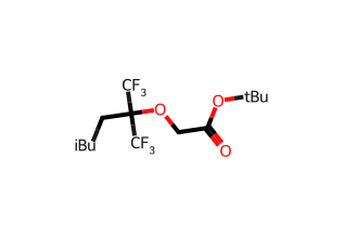 CCC(C)CC(OCC(=O)OC(C)(C)C)(C(F)(F)F)C(F)(F)F